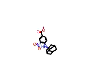 COC(=O)c1ccc(NC23CC4CC(CC(C4)C2)C3)c([N+](=O)[O-])c1